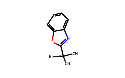 CCC(C#N)(C#N)c1nc2ccccc2o1